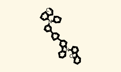 c1ccc(N(c2cccc(-c3ccc(-c4ccc5c(c4)c4ccccc4n5-c4cccc5c4oc4ccccc45)cc3)c2)c2cccc3ccccc23)cc1